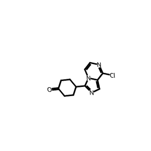 O=C1CCC(c2ncc3c(Cl)nccn23)CC1